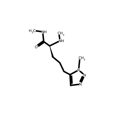 CNC(=O)[C@H](CCCc1cnnn1C)NC